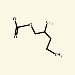 CCCC(C)COC([O])=O